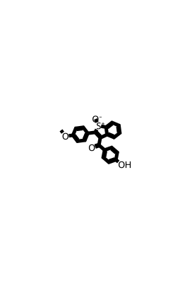 COc1ccc(-c2c(C(=O)c3ccc(O)cc3)c3ccccc3[s+]2[O-])cc1